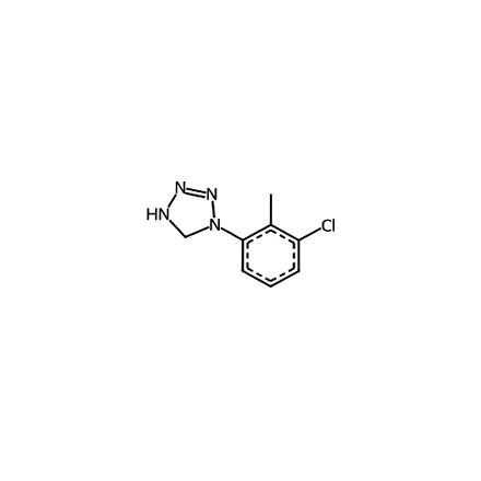 Cc1c(Cl)cccc1N1CNN=N1